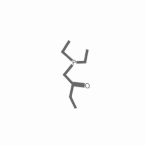 CCC(=O)CP(CC)CC